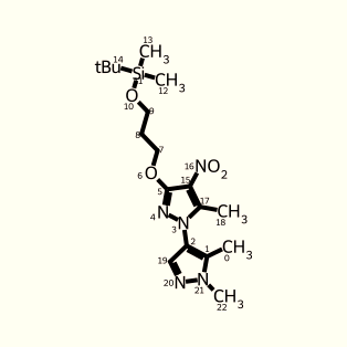 Cc1c(-n2nc(OCCCO[Si](C)(C)C(C)(C)C)c([N+](=O)[O-])c2C)cnn1C